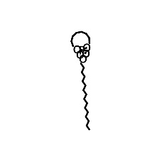 CCCCCCCCCCCCCCCCOOP1(=O)OCCCCCCCCO1